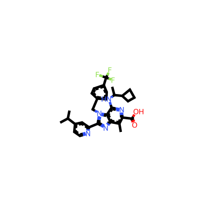 Cc1c(C(=O)O)nc(NC(C)C2CCC2)c2c1nc(-c1cc(C(C)C)ccn1)n2Cc1ccc(C(F)(F)F)cc1